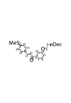 CCCCCCCCCCCCOc1cccc(C(=O)C=Cc2ccc(SC)cc2)c1